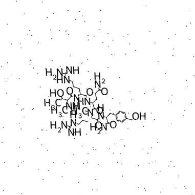 CN[C@H](C(=O)N[C@@H](CCCNC(=N)N)C(=O)N[C@@H](CCC(N)=O)C(=O)N(C)[C@@H](CCCNC(=N)N)C(=O)N[C@@H](Cc1ccc(CO)cc1)C(N)=O)[C@@H](C)O